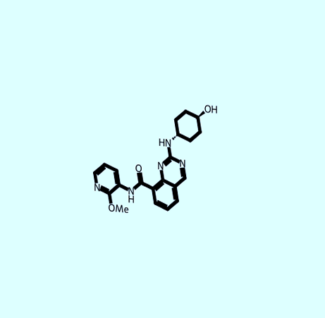 COc1ncccc1NC(=O)c1cccc2cnc(N[C@H]3CC[C@H](O)CC3)nc12